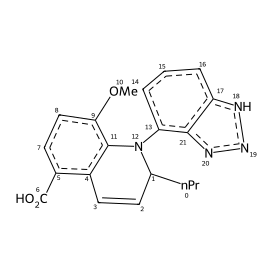 CCCC1C=Cc2c(C(=O)O)ccc(OC)c2N1c1cccc2[nH]nnc12